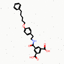 O=C(O)c1cc(C(=O)O)cc(C(=O)NCCc2ccc(OCCCCCc3ccccc3)cc2)c1